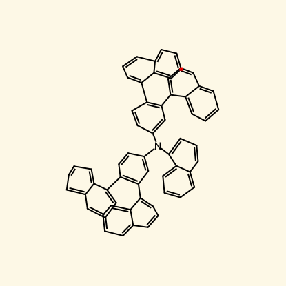 c1ccc2c(-c3ccc(N(c4ccc(-c5cccc6ccccc56)c(-c5cccc6ccccc56)c4)c4cccc5ccccc45)cc3-c3cccc4ccccc34)cccc2c1